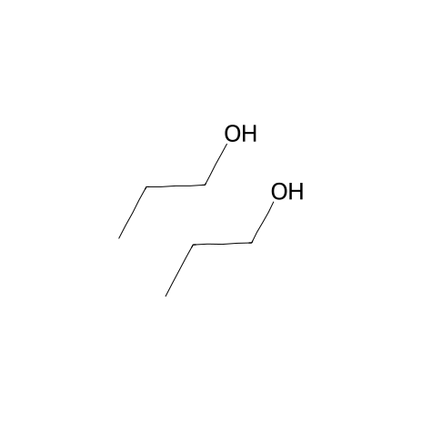 CCCO.CCCO